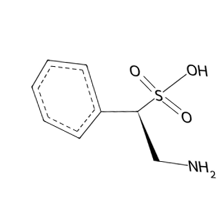 NC[C@@H](c1ccccc1)S(=O)(=O)O